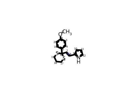 COc1ccc(C2(/C=C/c3ccc[nH]3)SCCCS2)cc1